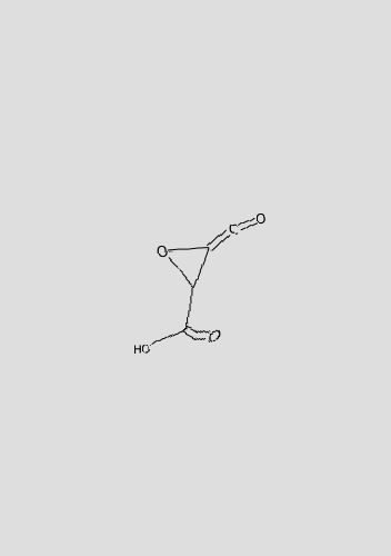 O=C=C1OC1C(=O)O